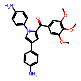 COc1cc(C(=O)c2cc(-c3ccc(N)cc3)cn2-c2ccc(N)cc2)cc(OC)c1OC